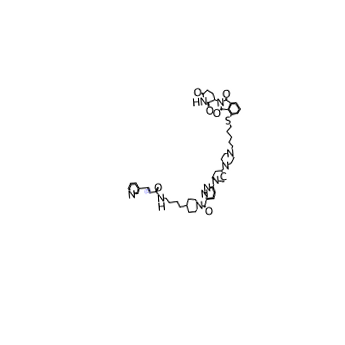 O=C(/C=C/c1cccnc1)NCCCCC1CCN(C(=O)c2ccc(N3CCC(N4CCN(CCCCCSc5cccc6c5C(=O)N(C5CCC(=O)NC5=O)C6=O)CC4)CC3)nn2)CC1